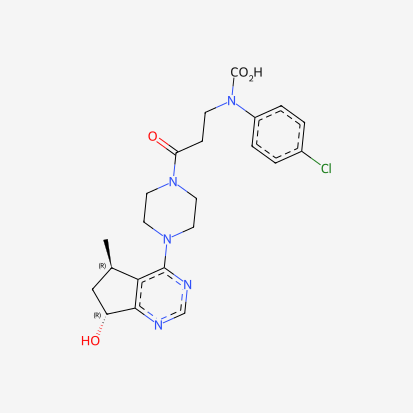 C[C@@H]1C[C@@H](O)c2ncnc(N3CCN(C(=O)CCN(C(=O)O)c4ccc(Cl)cc4)CC3)c21